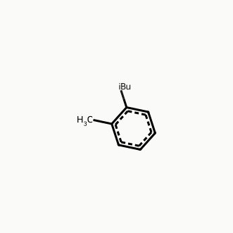 CCC(C)c1ccccc1C